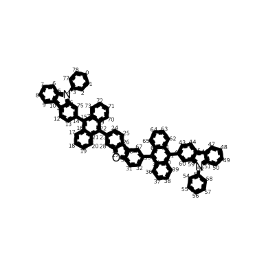 c1ccc(-n2c3ccccc3c3ccc(-c4c5ccccc5c(-c5ccc6c(c5)oc5ccc(-c7c8ccccc8c(-c8ccc9c%10ccccc%10n(-c%10ccccc%10)c9c8)c8ccccc78)cc56)c5ccccc45)cc32)cc1